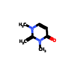 C=C1N(C)C=CC(=O)N1C